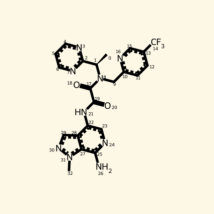 C[C@H](c1ncccn1)N(Cc1ccc(C(F)(F)F)cn1)C(=O)C(=O)Nc1cnc(N)c2c1cnn2C